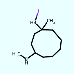 CBC1CCCCCC(C)(BI)CC1